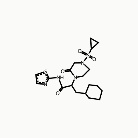 O=C(Nc1nccs1)C(CC1CCCCC1)N1CCN(S(=O)(=O)C2CC2)CC1=O